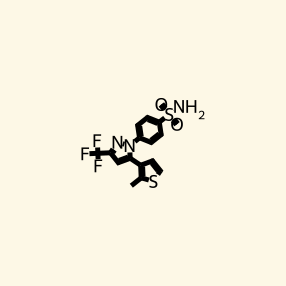 Cc1sccc1-c1cc(C(F)(F)F)nn1-c1ccc(S(N)(=O)=O)cc1